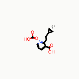 O=C(O)c1cccnc1CCC1CC1.O=C([O-])O.[K+]